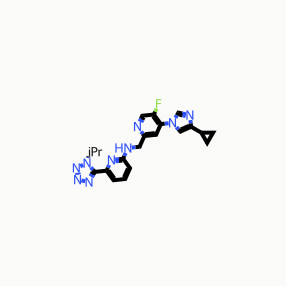 CC(C)n1nnnc1-c1cccc(NCc2cc(-n3cnc(C4CC4)c3)c(F)cn2)n1